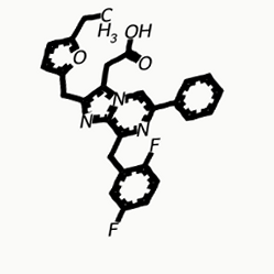 CCc1ccc(Cc2nc3c(Cc4cc(F)ccc4F)nc(-c4ccccc4)cn3c2CC(=O)O)o1